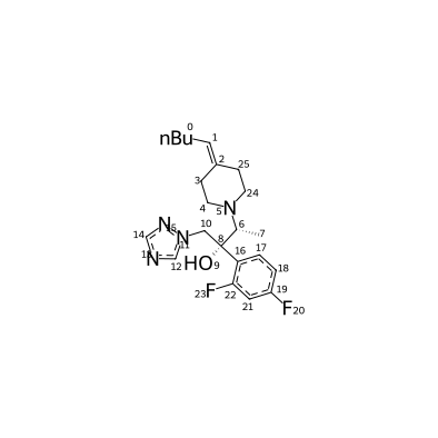 CCCCC=C1CCN([C@H](C)[C@](O)(Cn2cncn2)c2ccc(F)cc2F)CC1